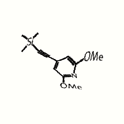 COc1cc(C#C[Si](C)(C)C)cc(OC)n1